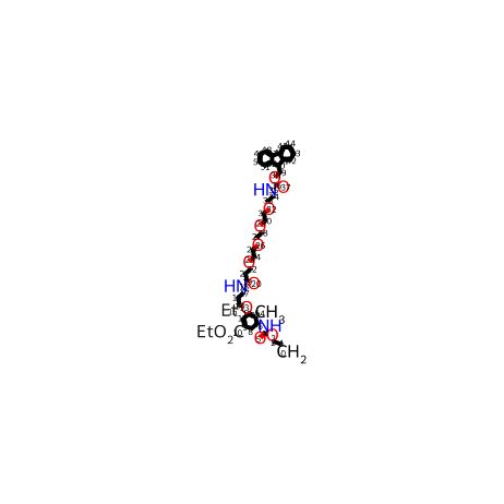 C=CCOC(=O)N[C@H]1CC(C(=O)OCC)=C[C@@H](OC(CC)CCNC(=O)CCOCCOCCOCCOCCNC(=O)OCC2c3ccccc3-c3ccccc32)C1C